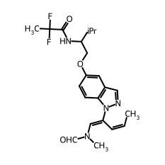 C/C=C\C(=C/N(C)C=O)n1ncc2cc(OCC(NC(=O)C(C)(F)F)C(C)C)ccc21